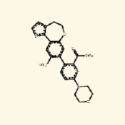 COC(=O)c1nc(N2CCOCC2)ccc1-c1cc2c(cc1C(=O)O)-c1sccc1CCO2